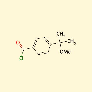 COC(C)(C)c1ccc(C(=O)Cl)cc1